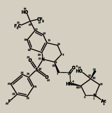 CC(=O)N1C[C@@H](NC(=O)C[C@@H]2CCc3cc(C(O)(C(F)(F)F)C(F)(F)F)ccc3N2S(=O)(=O)c2ccc(F)cc2)[C@](C)(O)C1